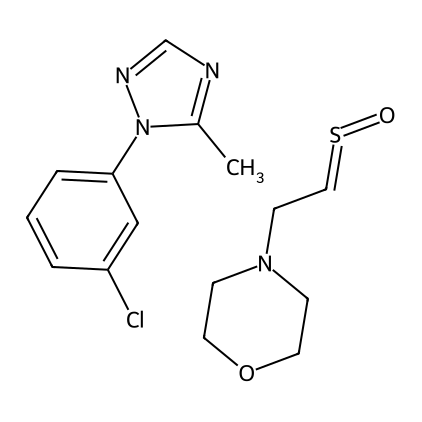 Cc1ncnn1-c1cccc(Cl)c1.O=S=CCN1CCOCC1